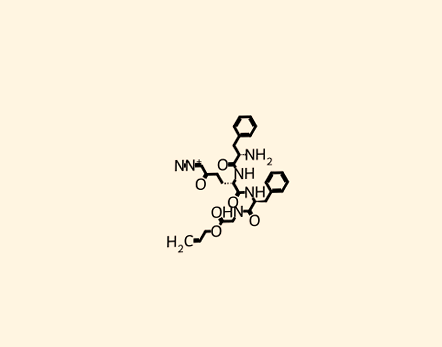 C=CCOC(=O)CNC(=O)[C@H](Cc1ccccc1)NC(=O)[C@H](CCC(=O)C=[N+]=[N-])NC(=O)[C@@H](N)Cc1ccccc1